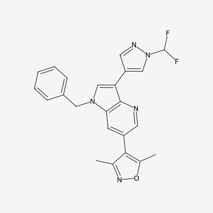 Cc1noc(C)c1-c1cnc2c(-c3cnn(C(F)F)c3)cn(Cc3ccccc3)c2c1